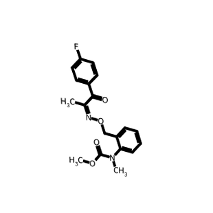 COC(=O)N(C)c1ccccc1CON=C(C)C(=O)c1ccc(F)cc1